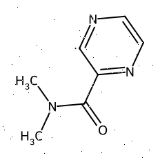 CN(C)C(=O)c1[c]nccn1